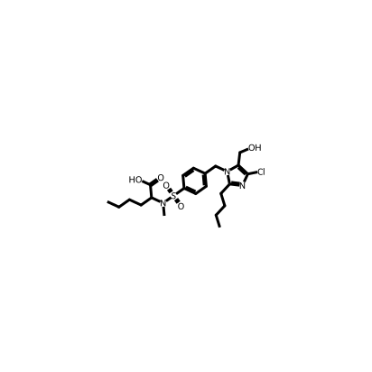 CCCCc1nc(Cl)c(CO)n1Cc1ccc(S(=O)(=O)N(C)C(CCCC)C(=O)O)cc1